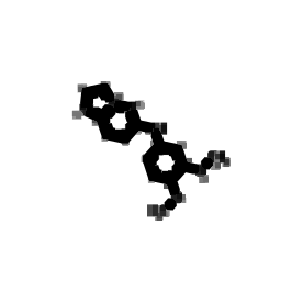 COc1ccc(Nc2ccc3nccn3n2)cc1OC